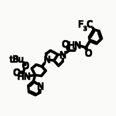 CC(C)(C)OC(=O)NC1(c2ccccn2)CCC(N2CCC3C2CCN3C(=O)CNC(=O)c2cccc(C(F)(F)F)c2)CC1